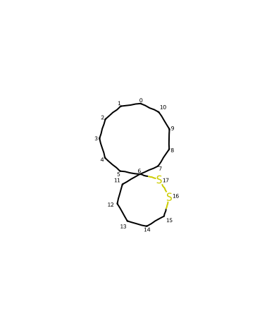 C1CCCCCC2(CCCC1)CCCCCSS2